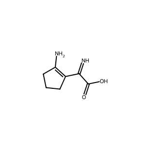 N=C(C(=O)O)C1=C(N)CCC1